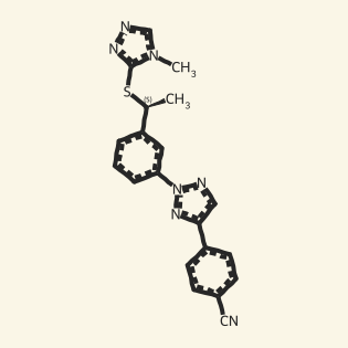 C[C@H](Sc1nncn1C)c1cccc(-n2ncc(-c3ccc(C#N)cc3)n2)c1